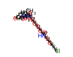 C[C@@H]1CC2[C@@H]3CCC4=CC(=O)C=C[C@]4(C)C3[C@@H](O)C[C@]2(C)C1C(=O)NCCOCCOCCOCCOCCC(=O)NCCOCCOCCCCCCCl